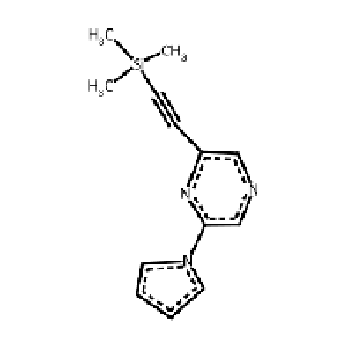 C[Si](C)(C)C#Cc1cncc(-n2cccc2)n1